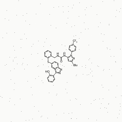 CC(C)(C)c1cc(NC(=O)NCc2ccccc2Sc2ccc3nnc(-c4ccccc4O)n3c2)n(-c2ccc(C(F)(F)F)cc2)n1